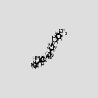 FC(F)(F)c1ccc(CNc2ncc(-c3nnc(N4C[C@@H]5C(c6cnn[nH]6)[C@@H]5C4)o3)cn2)cc1